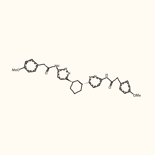 COc1ccc(CC(=O)Nc2ccc([C@@H]3CCC[C@@H](c4ccc(NC(=O)Cc5ccc(OC)cc5)nn4)C3)nn2)cc1